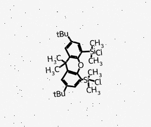 CC(C)(C)c1cc2c(c([Si](C)(C)Cl)c1)Oc1c(cc(C(C)(C)C)cc1[Si](C)(C)Cl)C2(C)C